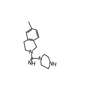 Cc1ccc2c(c1)CCN(C(=N)N1CCNCC1)C2